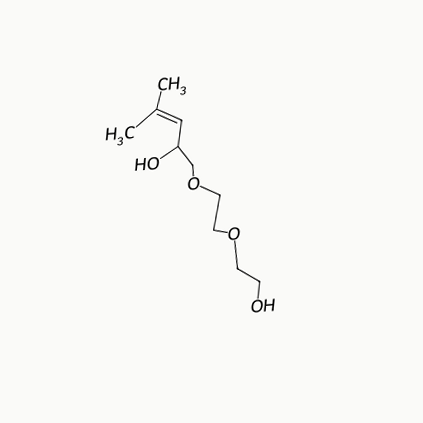 CC(C)=CC(O)COCCOCCO